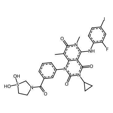 Cc1c(=O)n(C)c(Nc2ccc(I)cc2F)c2c(=O)n(C3CC3)c(=O)n(-c3cccc(C(=O)N4CCS(O)(O)C4)c3)c12